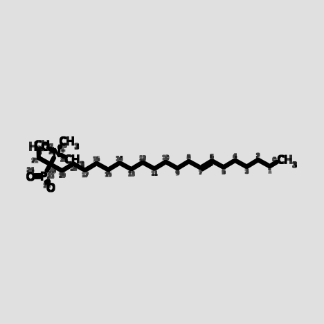 CCCCCCC=CCCCCCCCCCCCCC(CC)(P(=O)=O)[N+](C)(C)C